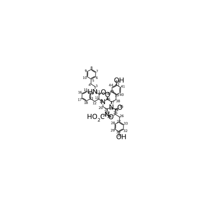 O=C(NCCc1ccccc1)C(Cc1ccccc1)N1CC2N(C(=O)O)OC(Cc3ccc(O)cc3)C(=O)N2C(Cc2ccc(O)cc2)C1=O